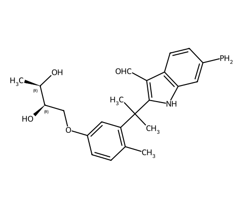 Cc1ccc(OC[C@@H](O)[C@@H](C)O)cc1C(C)(C)c1[nH]c2cc(P)ccc2c1C=O